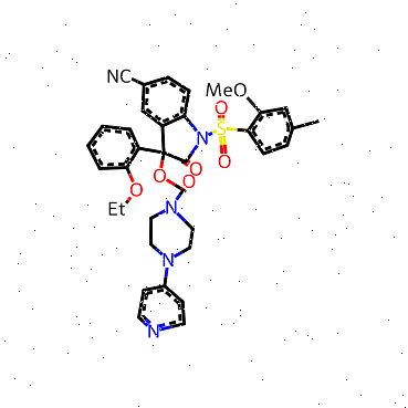 CCOc1ccccc1C1(OC(=O)N2CCN(c3ccncc3)CC2)C(=O)N(S(=O)(=O)c2ccc(C)cc2OC)c2ccc(C#N)cc21